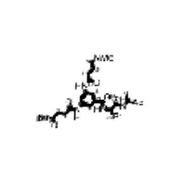 CC[C@@H](C)C(=O)CCC(=O)Nc1cc(NC(=O)CCCNC)cc(C(=O)NC(C(=O)N[C@@H](C)C(C)=O)C(C)C)c1